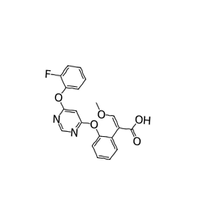 CO/C=C(/C(=O)O)c1ccccc1Oc1cc(Oc2ccccc2F)ncn1